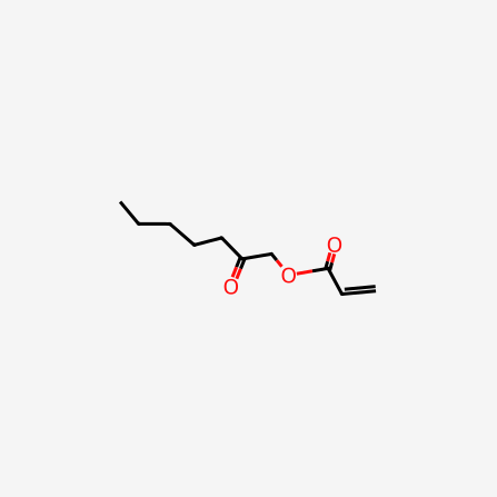 C=CC(=O)OCC(=O)CCCCC